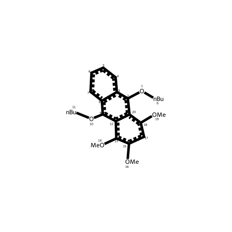 CCCCOc1c2ccccc2c(OCCCC)c2c(OC)c(OC)cc(OC)c12